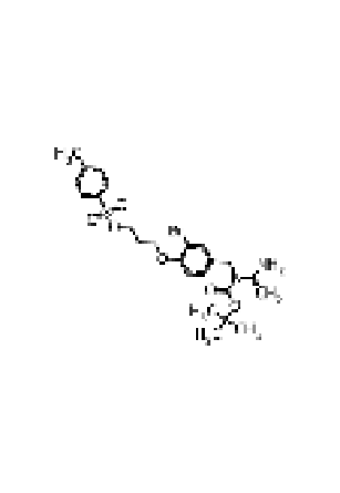 C=C(N)N(Cc1ccc(OCCCOS(=O)(=O)c2ccc(C)cc2)c(Br)c1)C(=O)OC(C)(C)C